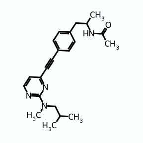 CC(=O)NC(C)Cc1ccc(C#Cc2ccnc(N(C)CC(C)C)n2)cc1